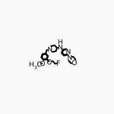 COc1ccc(CN2CCC(Nc3ccc(N4CCOCC4)nc3)CC2)cc1OCCF